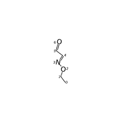 CCON=CC=O